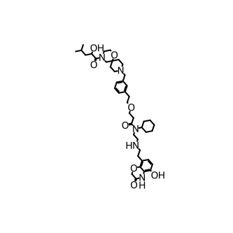 CC(C)CC(O)C(=O)N1CCOC2(CCN(Cc3cccc(CCOCCC(=O)N(CCNCCc4ccc(O)c5c4OCC(=O)N5)C4CCCCC4)c3)CC2)C1